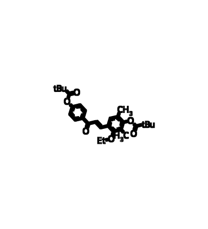 CCOc1c(C=CC(=O)c2ccc(OC(=O)C(C)(C)C)cc2)cc(C)c(OC(=O)C(C)(C)C)c1C